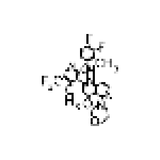 Cc1c(Oc2ncc(C(F)(F)F)c(C)c2-c2cc(=O)c3c(N4CCCOCC4)nccc3[nH]2)ccc(F)c1F